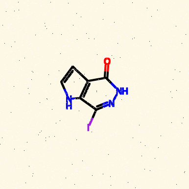 O=c1[nH]nc(I)c2[nH]ccc12